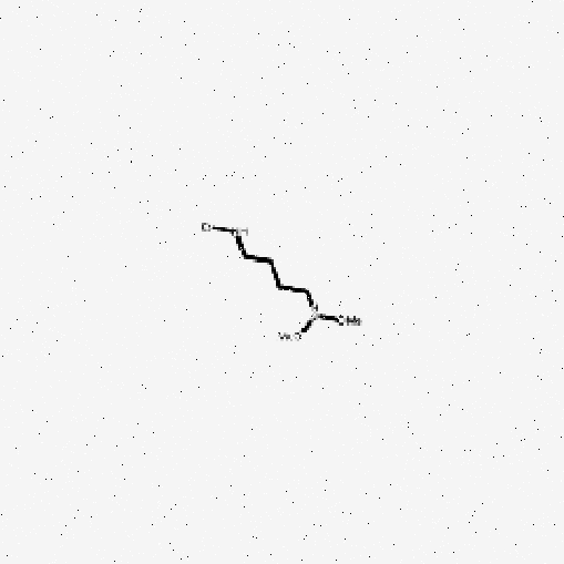 CCNCCCC[SiH](OC)OC